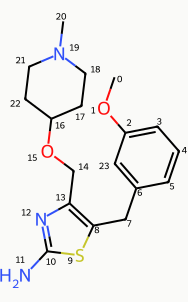 COc1cccc(Cc2sc(N)nc2COC2CCN(C)CC2)c1